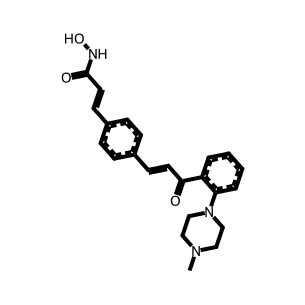 CN1CCN(c2ccccc2C(=O)C=Cc2ccc(C=CC(=O)NO)cc2)CC1